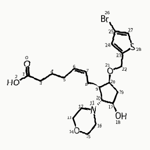 O=C(O)CCC/C=C\C[C@@H]1[C@@H](N2CCOCC2)[C@H](O)C[C@@H]1OCc1cc(Br)cs1